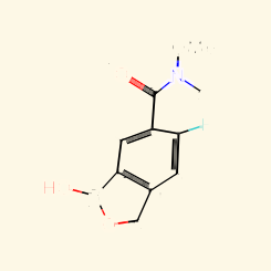 CON(C)C(=O)c1cc2c(cc1F)COB2O